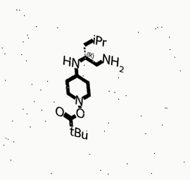 CC(C)C[C@H](CN)NC1CCN(OC(=O)C(C)(C)C)CC1